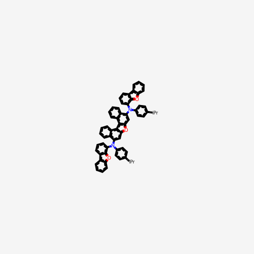 CC(C)c1ccc(N(c2cc3oc4cc(N(c5ccc(C(C)C)cc5)c5cccc6c5oc5ccccc56)c5ccccc5c4c3c3ccccc23)c2cccc3c2oc2ccccc23)cc1